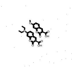 CCN(CC)c1ccc2cc(C(=O)O)c(=O)oc2c1.COc1ccc2cc(C(=O)O)c(=O)oc2c1